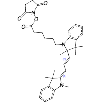 CN1/C(=C/C=C/C2(C)N(CCCCCC(=O)ON3C(=O)CCC3=O)c3ccccc3C2(C)C)C(C)(C)c2ccccc21